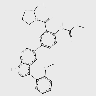 COC(=O)Nc1ccc(-c2cnc3[nH]cc(-c4ccccc4OC)c3c2)cc1C(=O)N1CCCC1N